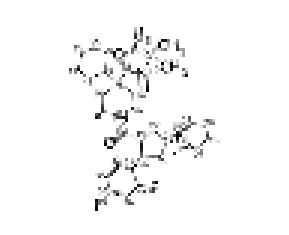 CC(C)(C)NC(=O)C1(C2CCCCC2)CCN(C(=O)[C@@H]2CC(N3C4CCC3CC4)C[C@H]2C2C=CC(F)=CC2F)CC1